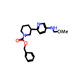 COCNc1ccc(C2CCCN(C(=O)OCc3ccccc3)C2)nc1